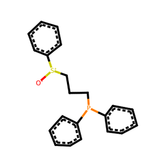 [O-][S+](CCCP(c1ccccc1)c1ccccc1)c1ccccc1